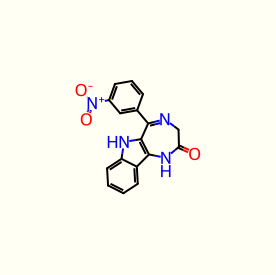 O=C1CN=C(c2cccc([N+](=O)[O-])c2)c2[nH]c3ccccc3c2N1